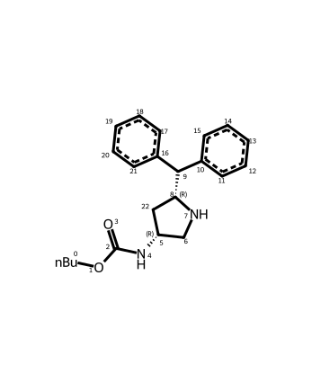 CCCCOC(=O)N[C@H]1CN[C@@H](C(c2ccccc2)c2ccccc2)C1